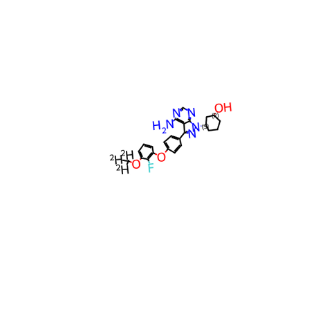 [2H]C([2H])([2H])Oc1cccc(Oc2ccc(-c3nn([C@H]4CCC[C@@H](O)C4)c4ncnc(N)c34)cc2)c1F